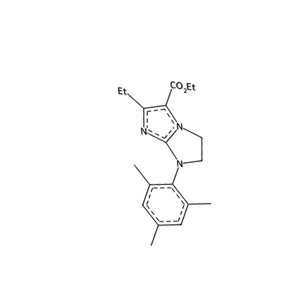 CCOC(=O)c1c(CC)nc2n1CCN2c1c(C)cc(C)cc1C